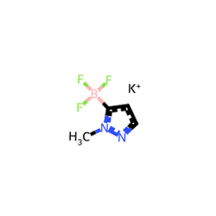 Cn1nccc1[B-](F)(F)F.[K+]